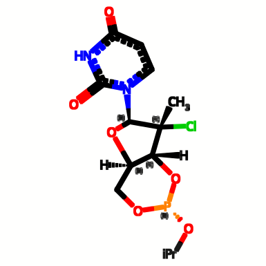 CC(C)O[P@]1OC[C@H]2O[C@@H](n3ccc(=O)[nH]c3=O)[C@](C)(Cl)[C@@H]2O1